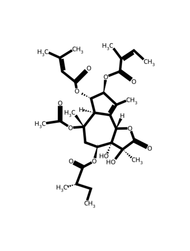 C/C=C(/C)C(=O)O[C@H]1C(C)=C2[C@H]([C@@H]1OC(=O)C=C(C)C)[C@@](C)(OC(C)=O)C[C@H](OC(=O)[C@@H](C)CC)[C@@]1(O)[C@H]2OC(=O)[C@@]1(C)O